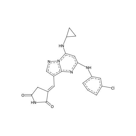 O=C1C/C(=C\c2cnn3c(NC4CC4)cc(Nc4cccc(Cl)c4)nc23)C(=O)N1